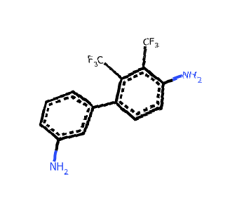 Nc1cccc(-c2ccc(N)c(C(F)(F)F)c2C(F)(F)F)c1